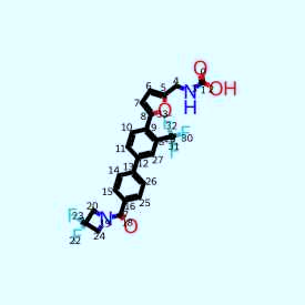 O=C(O)NCc1ccc(-c2ccc(-c3ccc(C(=O)N4CC(F)(F)C4)cc3)cc2C(F)(F)F)o1